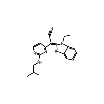 CCN1/C(=C(\C#N)c2ccnc(NCC(C)C)n2)Nc2ccccc21